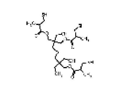 CCC(CO)(COCC(CC)(COC(=O)C(C)CS)COC(=O)C(C)CS)COC(=O)C(C)CS